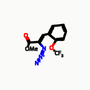 COC(=O)/C(=C/c1ccccc1OC(F)(F)F)N=[N+]=[N-]